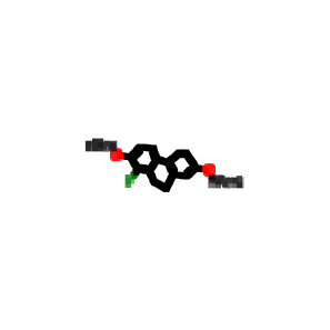 CCCCCCOc1ccc2c(c1F)CCc1cc(OCCCCC)ccc1-2